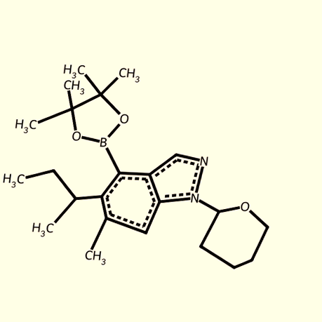 CCC(C)c1c(C)cc2c(cnn2C2CCCCO2)c1B1OC(C)(C)C(C)(C)O1